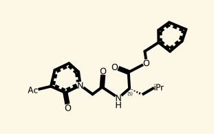 CC(=O)c1cccn(CC(=O)N[C@@H](CC(C)C)C(=O)OCc2ccccc2)c1=O